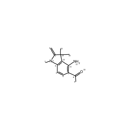 C=C1N(C)c2ccc(C(C)=O)c(N)c2C1(C)C